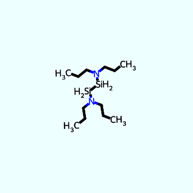 CCCN(CCC)[SiH2][SiH2]N(CCC)CCC